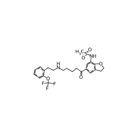 CS(=O)(=O)Nc1cc(C(=O)CCCCNCCc2ccccc2OC(F)(F)F)cc2c1OCC2